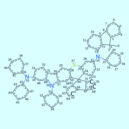 CC1(C)c2ccccc2-c2cccc(N(c3ccccc3)c3ccc4c(c3)Sc3cc5c6ccc(N(c7ccccc7)c7ccccc7)cc6n(-c6ccccc6)c5cc3C43c4ccccc4-c4ccccc43)c21